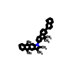 Cc1c(C)n(-c2ccc3c(c2)C(C)(C)c2cc(-c4ccc5ccccc5c4)ccc2-3)c2cc3c(C(C)(C)C)c4ccccc4c(C(C)(C)C)c3cc12